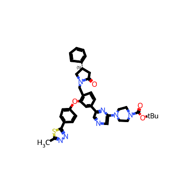 Cc1nnc(-c2ccc(Oc3cc(-c4cncc(N5CCN(C(=O)OC(C)(C)C)CC5)n4)ccc3CN3C[C@H](c4ccccc4)CC3=O)cc2)s1